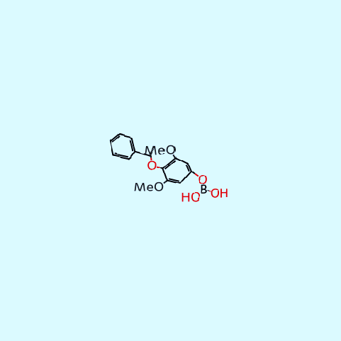 COc1cc(OB(O)O)cc(OC)c1OCc1ccccc1